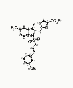 CCOC(=O)c1csc(Cc2c(C)c3cc(C(F)(F)F)ccc3n2S(=O)(=O)CC=Cc2cccc(C(C)(C)C)c2)n1